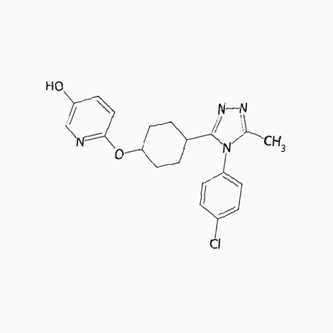 Cc1nnc(C2CCC(Oc3ccc(O)cn3)CC2)n1-c1ccc(Cl)cc1